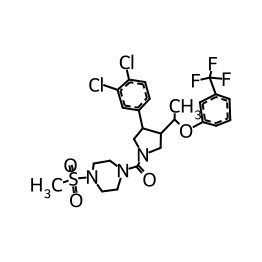 CC(Oc1cccc(C(F)(F)F)c1)C1CN(C(=O)N2CCN(S(C)(=O)=O)CC2)CC1c1ccc(Cl)c(Cl)c1